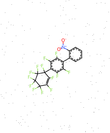 O=[N+]([O-])c1ccccc1-c1c(F)c(F)c(C2(F)C(F)=C(F)C(F)(F)C(F)(F)C2(F)F)c(F)c1F